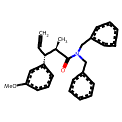 C=C[C@@H](c1cccc(OC)c1)[C@@H](C)C(=O)N(Cc1ccccc1)Cc1ccccc1